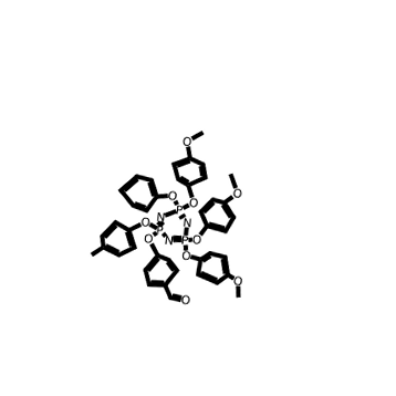 COc1ccc(OP2(Oc3ccccc3)=NP(Oc3ccc(OC)cc3)(Oc3ccc(OC)cc3)=NP(Oc3ccc(C)cc3)(Oc3ccc(C=O)cc3)=N2)cc1